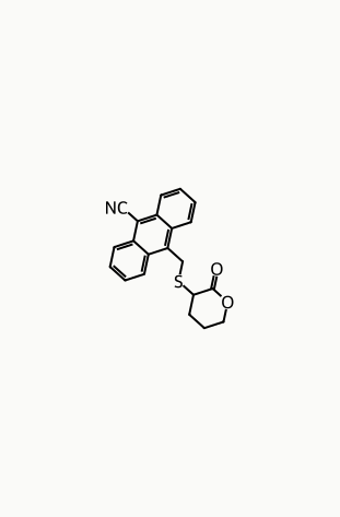 N#Cc1c2ccccc2c(CSC2CCCOC2=O)c2ccccc12